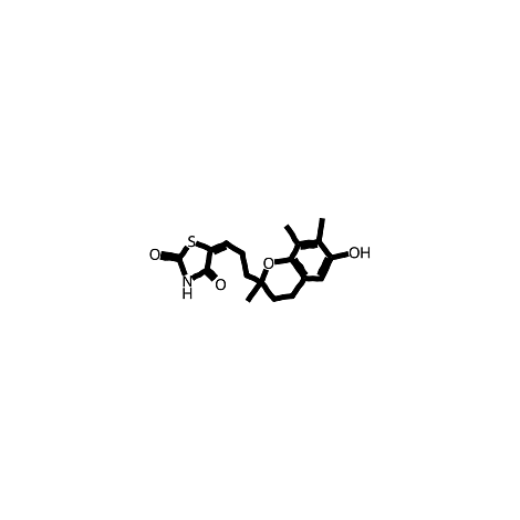 Cc1c(O)cc2c(c1C)OC(C)(CC/C=C1/SC(=O)NC1=O)CC2